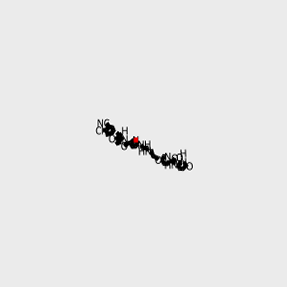 CC1(C)[C@H](NC(=O)c2ccc(NCCNCCCOc3ccc(C(=O)NC4CCC(=O)NC4=O)nc3)nc2)C(C)(C)[C@H]1Oc1ccc(C#N)c(Cl)c1